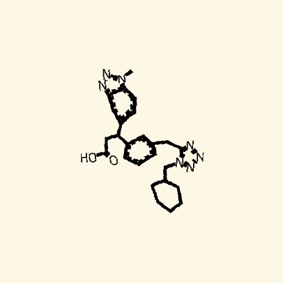 Cn1nnc2cc(C(CC(=O)O)c3cccc(Cc4nnnn4CC4CCCCC4)c3)ccc21